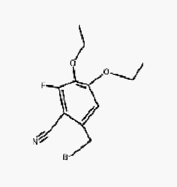 CCOc1cc(CBr)c(C#N)c(F)c1OCC